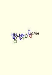 COC(=O)N[C@@H]1CCC[C@H](Nc2nc(-c3c[nH]c4ncc(Cl)cc34)ncc2F)C1